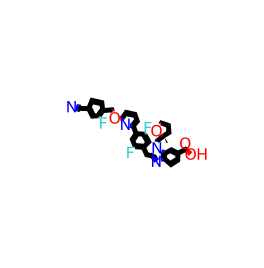 C[C@@]1(Cn2c(Cc3cc(F)c(-c4cccc(OCc5ccc(C#N)cc5F)n4)cc3F)nc3ccc(C(=O)O)cc32)CCCO1